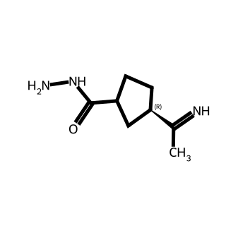 CC(=N)[C@@H]1CCC(C(=O)NN)C1